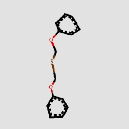 c1ccc(OCSCOc2ccccc2)cc1